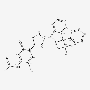 CC(=O)Nc1nc(=O)n([C@H]2CO[C@H](CO[Si](c3ccccc3)(c3ccccc3)C(C)(C)C)S2)cc1F